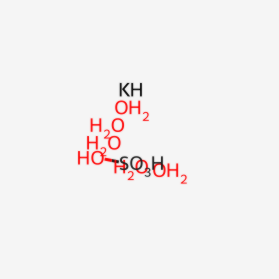 O.O.O.O.O.O=S(=O)(O)O.[KH]